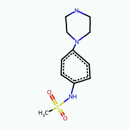 CS(=O)(=O)Nc1ccc(N2CC[N]CC2)cc1